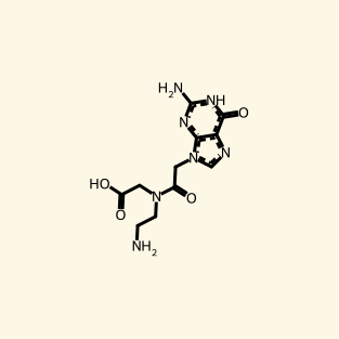 NCCN(CC(=O)O)C(=O)Cn1cnc2c(=O)[nH]c(N)nc21